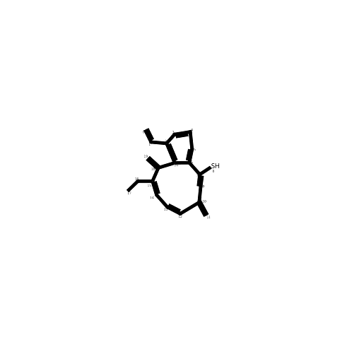 C=Cc1cccc2c(S)cc(=C)cccc(CC)c(=C)c12